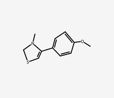 COc1ccc(C2=CSCN2C)cc1